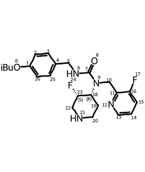 CC(C)COc1ccc(CNC(=O)N(Cc2ncccc2F)[C@@H]2CCNC[C@@H]2F)cc1